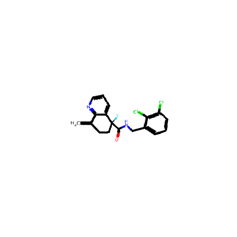 C=C1CC[C@@](F)(C(=O)NCc2cccc(Cl)c2Cl)c2cccnc21